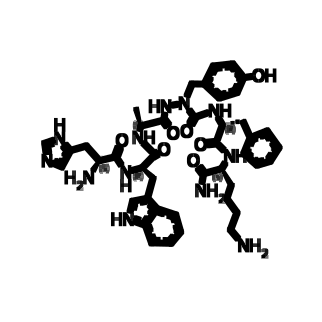 C[C@H](NC(=O)[C@@H](Cc1c[nH]c2ccccc12)NC(=O)[C@@H](N)Cc1cnc[nH]1)C(=O)NN(Cc1ccc(O)cc1)C(=O)N[C@H](Cc1ccccc1)C(=O)N[C@@H](CCCCN)C(N)=O